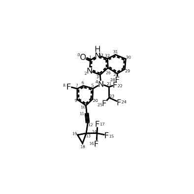 O=c1nc(N(c2cc(F)cc(C#CC3(C(F)(F)F)CC3)c2)C(F)C(F)F)c2c(F)cccc2[nH]1